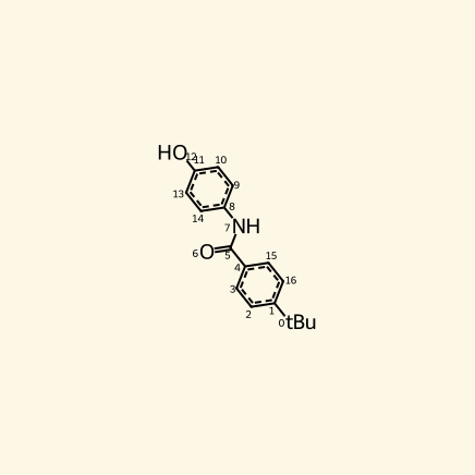 CC(C)(C)c1ccc(C(=O)Nc2ccc(O)cc2)cc1